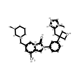 C[C@H]1CCCN(Cc2cc(C(F)(F)F)c3cn(-c4cccc(C5(Cc6nncn6C)COC5)c4)c(=O)n3c2)C1